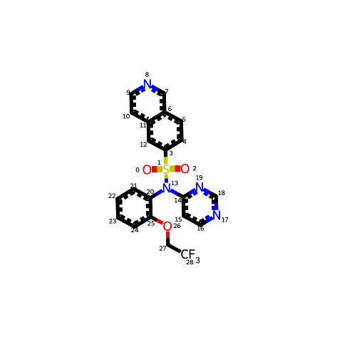 O=S(=O)(c1ccc2cnccc2c1)N(c1ccncn1)c1ccccc1OCC(F)(F)F